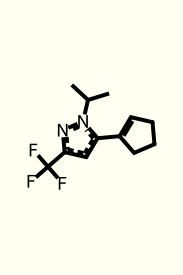 CC(C)n1nc(C(F)(F)F)cc1C1=CCCC1